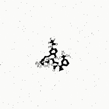 CC#CCCc1cc(NC(=O)C(F)(F)F)ccc1C[C@H](NC(=O)OC(C)(C)C)C1CN(C2(c3cccc(C(C)(C)C)c3)CC2)C(=O)O1